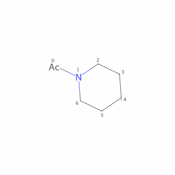 CC(=O)N1CC[CH]CC1